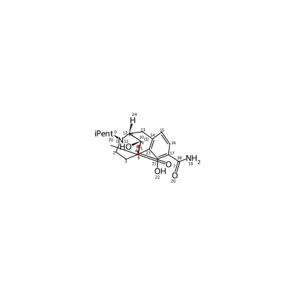 CCC[C@H](C)N1CCC23CC(=O)CC[C@@]2(O)[C@H]1Cc1ccc(C(N)=O)c(O)c13